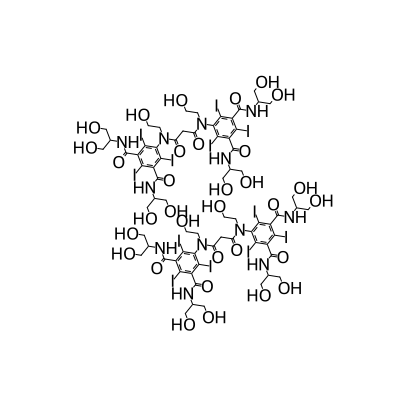 O=C(NC(CO)CO)c1c(I)c(C(=O)NC(CO)CO)c(I)c(N(CCO)C(=O)CC(=O)N(CCO)c2c(I)c(C(=O)NC(CO)CO)c(I)c(C(=O)NC(CO)CO)c2I)c1I.O=C(NC(CO)CO)c1c(I)c(C(=O)NC(CO)CO)c(I)c(N(CCO)C(=O)CC(=O)N(CCO)c2c(I)c(C(=O)NC(CO)CO)c(I)c(C(=O)NC(CO)CO)c2I)c1I